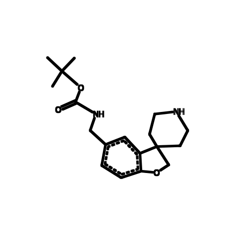 CC(C)(C)OC(=O)NCc1ccc2c(c1)C1(CCNCC1)CO2